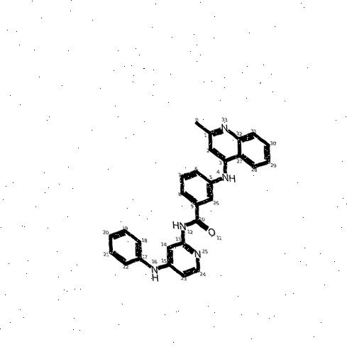 Cc1cc(Nc2cccc(C(=O)Nc3cc(Nc4ccccc4)ccn3)c2)c2ccccc2n1